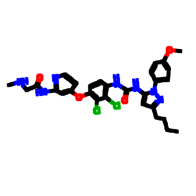 CCCCc1cc(NC(=O)Nc2ccc(Oc3ccnc(NC(=O)CNC)c3)c(Cl)c2Cl)n(-c2ccc(OC)cc2)n1